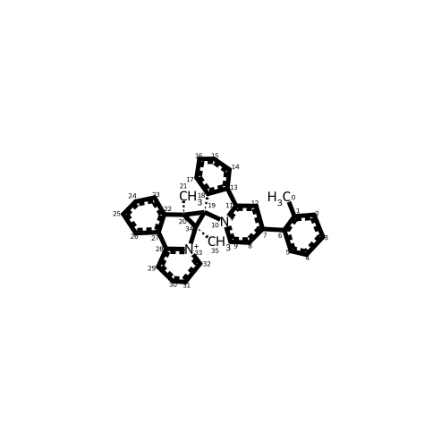 Cc1ccccc1-c1cc[n+]2c(c1)-c1ccccc1[C@]21[C@]2(C)c3ccccc3-c3cccc[n+]3[C@@]21C